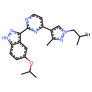 [2H]C(C)Cn1cc(-c2ccnc(-c3n[nH]c4ccc(OC(C)C)cc34)n2)c(C)n1